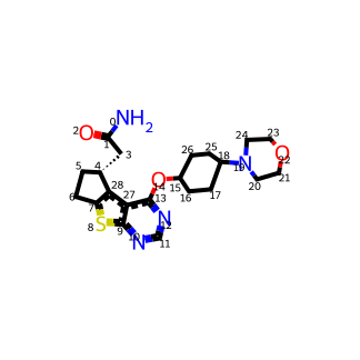 NC(=O)C[C@H]1CCc2sc3ncnc(OC4CCC(N5CCOCC5)CC4)c3c21